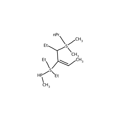 C/C=C(\C(CC)S(C)(C)CCC)S(CC)(CC)PC